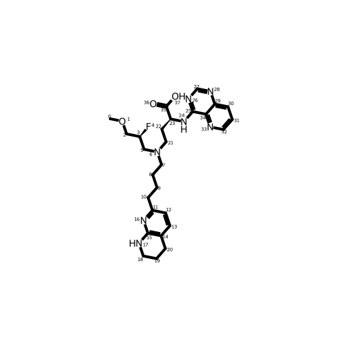 COC[C@@H](F)CN(CCCCc1ccc2c(n1)NCCC2)CC[C@H](Nc1ncnc2cccnc12)C(=O)O